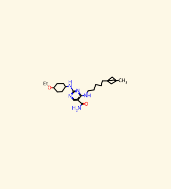 CCOC1CCC(Nc2ncc(C(N)=O)c(NCCCCCC34CC(C)(C3)C4)n2)CC1